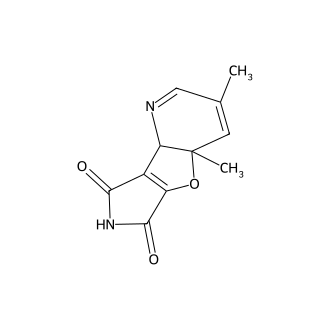 CC1=CC2(C)OC3=C(C(=O)NC3=O)C2N=C1